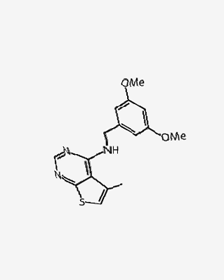 COc1cc(CNc2ncnc3scc(C)c23)cc(OC)c1